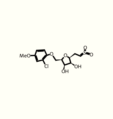 COc1ccc(OC[C@H]2O[C@@H](CC=S(=O)=O)[C@@H](O)[C@H]2O)c(Cl)c1